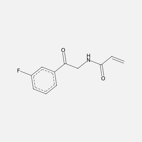 C=CC(=O)NCC(=O)c1cccc(F)c1